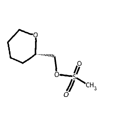 CS(=O)(=O)OC[C@@H]1CCCCO1